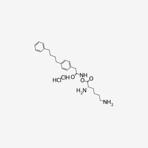 Cl.Cl.NCCCC[C@H](N)C(=O)ONC(=O)Cc1ccc(CCCCc2ccccc2)cc1